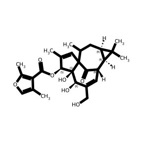 CC1=CC23C(=O)[C@@H](C=C(CO)[C@@H](O)[C@]2(O)[C@H]1OC(=O)c1c(C)coc1C)[C@H]1[C@@H](CC3C)C1(C)C